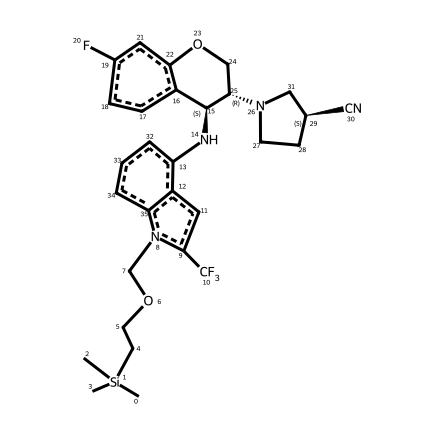 C[Si](C)(C)CCOCn1c(C(F)(F)F)cc2c(N[C@H]3c4ccc(F)cc4OC[C@@H]3N3CC[C@H](C#N)C3)cccc21